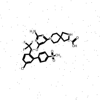 CS(=O)(=O)c1ccc(-c2cc(Cl)ccc2[C@@H](Oc2cc(N3CCC4(CC3)CN[C@H](C(=O)O)C4)nc(N)n2)C(F)(F)F)cc1